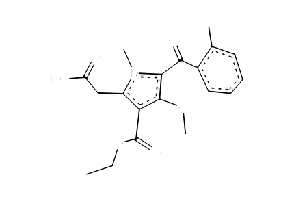 CCOC(=O)c1c(OC)c(C(=O)c2ccccc2C)n(C)c1CC(=O)O